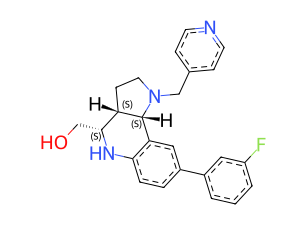 OC[C@H]1Nc2ccc(-c3cccc(F)c3)cc2[C@@H]2[C@H]1CCN2Cc1ccncc1